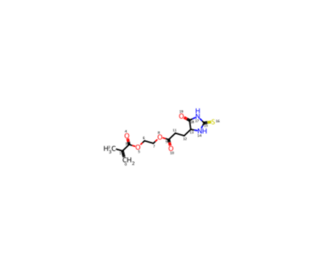 C=C(C)C(=O)OCCOC(=O)CCC1NC(=S)NC1=O